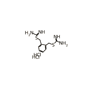 Cl.Cl.N=C(N)SCc1ccccc1CSC(=N)N